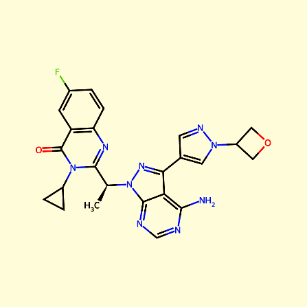 C[C@@H](c1nc2ccc(F)cc2c(=O)n1C1CC1)n1nc(-c2cnn(C3COC3)c2)c2c(N)ncnc21